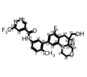 Cc1ccc(NC(=O)c2cnnc(C(F)(F)F)c2)cc1-c1cc(F)c2c(c1)N1CCOC[C@@H]1[C@@](F)(CO)C2